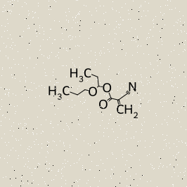 C=C(C#N)C(=O)OC(CC)OCCC